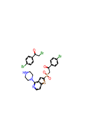 O=C(CBr)c1ccc(Br)cc1.O=C(CS(=O)(=O)c1cc2c(N3CCNCC3)nccc2s1)c1ccc(Br)cc1